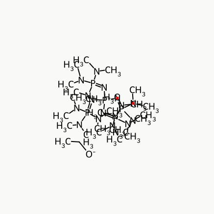 CC[O-].CN(C)P(=N[P+](N=P(N(C)C)(N(C)C)N(C)C)(N=P(N(C)C)(N(C)C)N(C)C)N=P(N(C)C)(N(C)C)N(C)C)(N(C)C)N(C)C